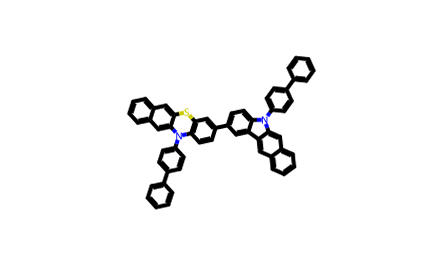 c1ccc(-c2ccc(N3c4ccc(-c5ccc6c(c5)c5cc7ccccc7cc5n6-c5ccc(-c6ccccc6)cc5)cc4Sc4cc5ccccc5cc43)cc2)cc1